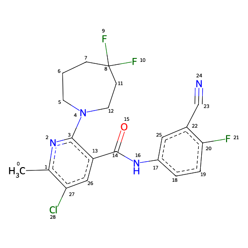 Cc1nc(N2CCCC(F)(F)CC2)c(C(=O)Nc2ccc(F)c(C#N)c2)cc1Cl